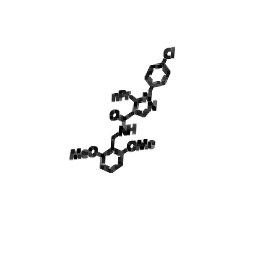 CCCc1c(C(=O)NCc2c(OC)cccc2OC)cnn1-c1ccc(Cl)cc1